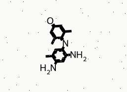 CC1=CC(=O)C=C(C)C1=Nc1cc(C)c(N)cc1N